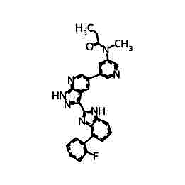 CCC(=O)N(C)c1cncc(-c2cnc3[nH]nc(-c4nc5c(-c6ccccc6F)cccc5[nH]4)c3c2)c1